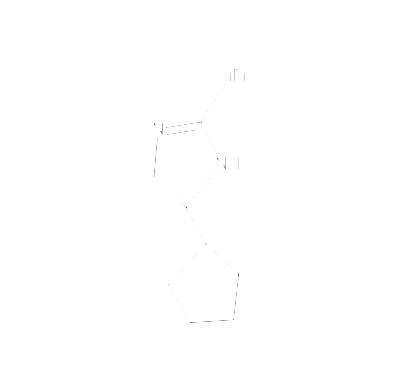 CC(C)c1ncc(C2CCCC2)[nH]1